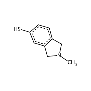 CN1Cc2ccc(S)cc2C1